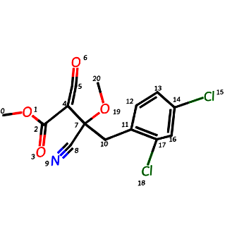 COC(=O)C(=C=O)C(C#N)(Cc1ccc(Cl)cc1Cl)OC